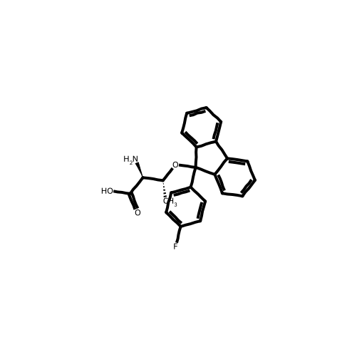 C[C@@H](OC1(c2ccc(F)cc2)c2ccccc2-c2ccccc21)[C@H](N)C(=O)O